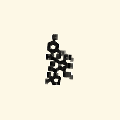 Cc1[nH]c(C)c(S(=O)(=O)Nc2ccc(Cl)cc2C(F)(F)F)c1C(=O)N1CCCC1(F)F